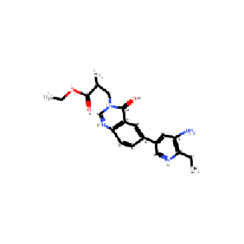 CCOC(=O)C(C)Cn1cnc2ccc(-c3cnc(CC)c(N)c3)cc2c1=O